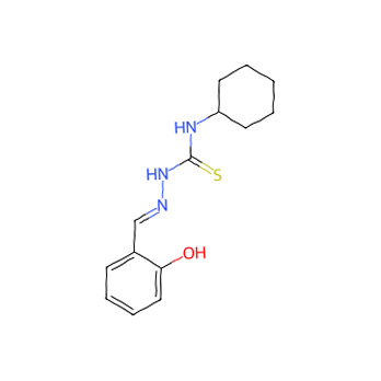 Oc1ccccc1/C=N/NC(=S)NC1CCCCC1